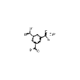 O=C([O-])c1cc(C(=O)[O-])cc(C(=O)[O-])c1.[Cu+3]